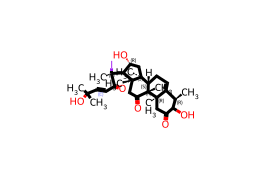 C[C@@H]1C2=CC[C@H]3[C@]4(C)C[C@@H](O)C([C@](C)(I)C(=O)/C=C/C(C)(C)O)[C@@]4(C)CC(=O)[C@@]3(C)[C@]2(C)CC(=O)C1O